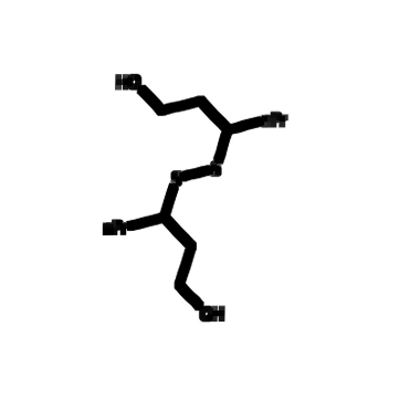 CCCC(CCO)SSC(CCC)CCO